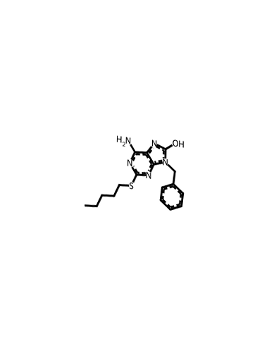 CCCCCSc1nc(N)c2nc(O)n(Cc3ccccc3)c2n1